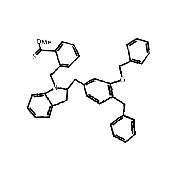 COC(=S)c1ccccc1CN1c2ccccc2CC1Cc1ccc(Cc2ccccc2)c(OCc2ccccc2)c1